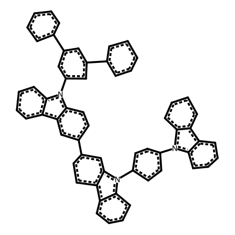 c1ccc(-c2cc(-c3ccccc3)cc(-n3c4ccccc4c4cc(-c5ccc6c7ccccc7n(-c7ccc(-n8c9ccccc9c9ccccc98)cc7)c6c5)ccc43)c2)cc1